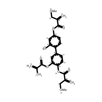 C=C(C)C(=O)Oc1cc(-c2ccc(OC(=O)C(=C)COC)cc2CC)ccc1OC(=O)C(=C)COC